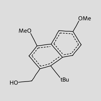 COc1ccc2c(C(C)(C)C)c(CO)cc(OC)c2c1